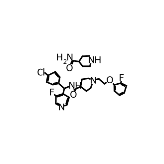 NC(=O)C1CCNCC1.O=C(NC(c1ccc(Cl)cc1)c1ccncc1F)C1CCN(CCOc2ccccc2F)CC1